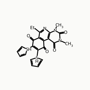 CCc1nc2c(c3c1C(=O)C([SH]1C=CC=C1)=C([SH]1C=CC=C1)C3=O)c(=O)n(C)c(=O)n2C